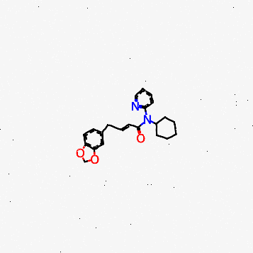 O=C(/C=C/Cc1ccc2c(c1)OCO2)N(c1ccccn1)C1CCCCC1